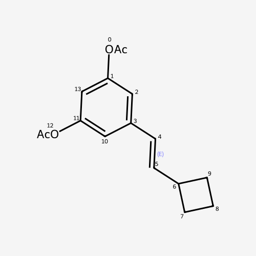 CC(=O)Oc1cc(/C=C/C2CCC2)cc(OC(C)=O)c1